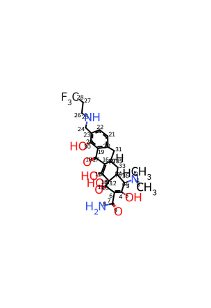 CN(C)[C@H]1C(O)=C(C(N)=O)C(=O)[C@@]2(O)C(O)=C3C(=O)c4c(ccc(CNCCC(F)(F)F)c4O)C[C@H]3C[C@@H]12